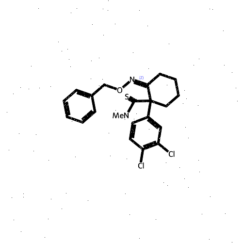 CNC(=S)C1(c2ccc(Cl)c(Cl)c2)CCCC/C1=N/OCc1ccccc1